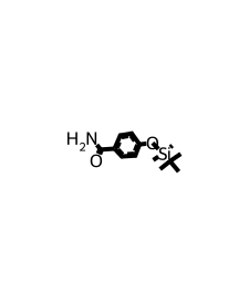 CC(C)(C)[Si](C)(C)Oc1ccc(C(N)=O)cc1